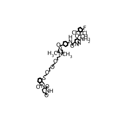 CC(Oc1cc(C(=O)Nc2ccc(C(=O)N3C[C@@H](C)N(CCCOCCOCCOCCSc4cccc5c4CN(C4CCC(=O)NC4=O)C5=O)[C@@H](C)C3)cc2)nnc1N)c1c(Cl)ccc(F)c1Cl